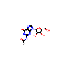 CC(C)C(=O)Nc1nc2c(ncn2[C@@H]2O[C@H](CO)C(O)=C2O)c(=O)[nH]1